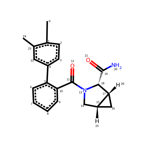 Cc1ccc(-c2ccccc2C(=O)N2C[C@H]3C[C@H]3[C@H]2C(N)=O)cc1C